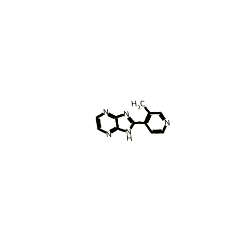 Cc1cnccc1-c1nc2nccnc2[nH]1